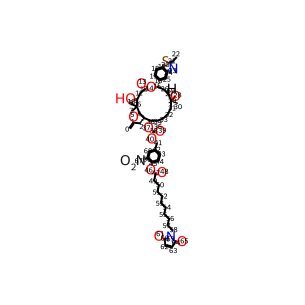 C=CC[C@H]1C(=O)C(C)(C)[C@@H](O)CC(=O)O[C@H](c2ccc3sc(C)nc3c2)C[C@@H]2O[C@]2(C)CCC[C@H](C)[C@@H]1OC(=O)OCc1ccc(OC(=O)CCCCCCCCCCN2C(=O)C=CC2=O)c([N+](=O)[O-])c1